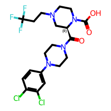 O=C([C@H]1CN(CCC(F)(F)F)CCN1C(=O)O)N1CCN(c2ccc(Cl)c(Cl)c2)CC1